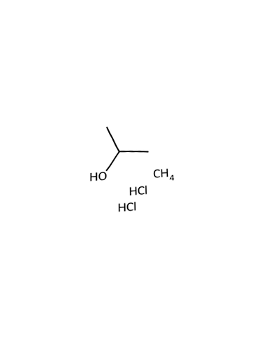 C.CC(C)O.Cl.Cl